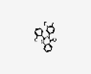 Cc1ccc(-n2c(-c3ccccc3Cl)nc3ccccc3c2=O)cc1F